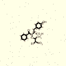 CCC(C(C)ON(C(=O)c1ccccc1)[C@H](Cc1ccc(O)cc1)C(=O)O)[N+](=O)[O-]